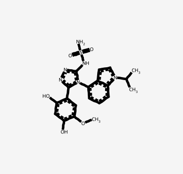 COc1cc(-c2nnc(NS(N)(=O)=O)n2-c2cccc3c2ccn3C(C)C)c(O)cc1O